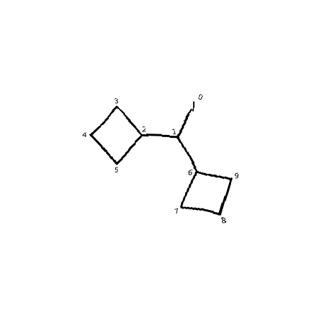 IC(C1CCC1)C1CCC1